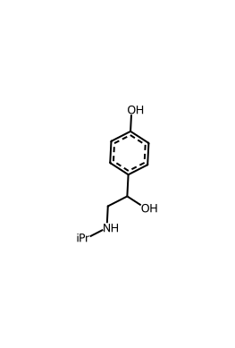 CC(C)NCC(O)c1ccc(O)cc1